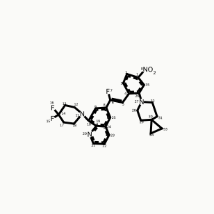 O=[N+]([O-])c1ccc(C=C(F)c2cc(N3CCC(F)(F)CC3)c3ncccc3c2)c(N2CCC3(CC2)CC3)c1